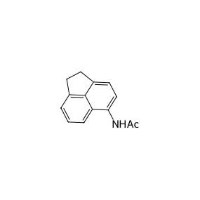 CC(=O)Nc1ccc2c3c(cccc13)CC2